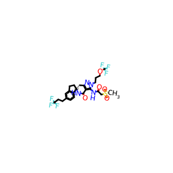 CS(=O)(=O)CC(=O)Nc1c2c(nn1CCCOC(F)(F)F)C[C@]1(CCc3cc(CCC(F)(F)F)ccc31)NC2=O